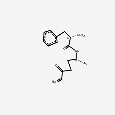 C=CC(=O)CC[C@H](NC(=O)[C@H](Cc1ccccc1)NC(C)=O)C(C)=O